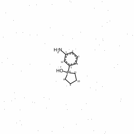 Nc1cccc([P]2(O)CCCC2)c1